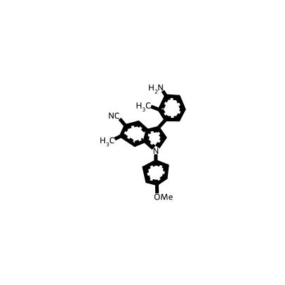 COc1ccc(-n2cc(-c3cccc(N)c3C)c3cc(C#N)c(C)cc32)cc1